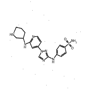 NS(=O)(=O)c1ccc(Nc2ncn(-c3ccnc(NC4CCCNC4)c3)n2)cc1